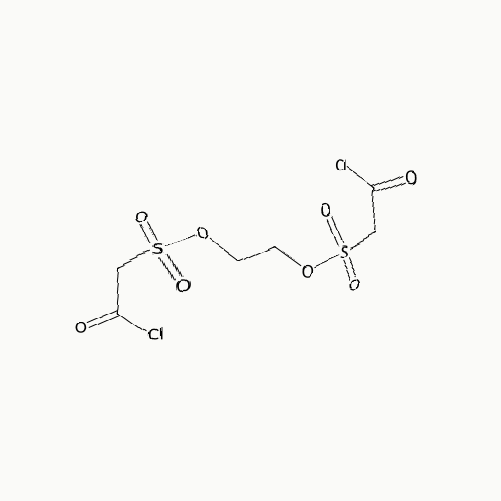 O=C(Cl)CS(=O)(=O)OCCOS(=O)(=O)CC(=O)Cl